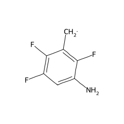 [CH2]c1c(F)c(N)cc(F)c1F